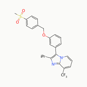 CC(C)c1nc2c(C(F)(F)F)cccn2c1-c1cccc(OCc2ccc(S(C)(=O)=O)cc2)c1